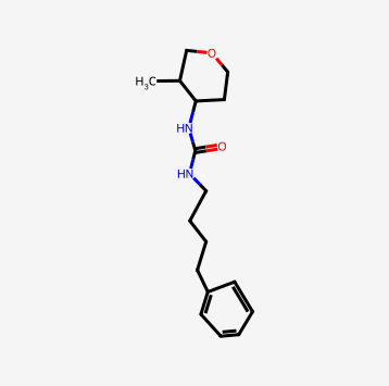 CC1COCCC1NC(=O)NCCCCc1ccccc1